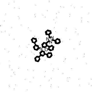 c1ccc(-c2cccc(N(c3cc(-c4ccccc4)cc(-c4ccccc4)c3)c3ccc(-c4nc(-c5ccccc5)nc(-c5ccccc5)n4)c4c3oc3ccccc34)c2)cc1